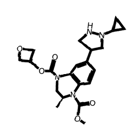 COC(=O)N1c2ccc(C3CNN(C4CC4)C3)cc2N(C(=O)OC2COC2)C[C@@H]1C